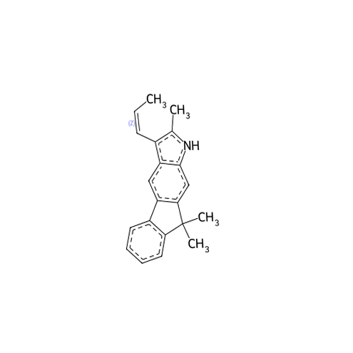 C/C=C\c1c(C)[nH]c2cc3c(cc12)-c1ccccc1C3(C)C